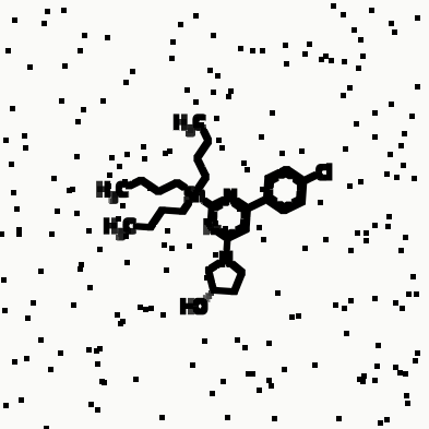 CCC[CH2][Sn]([CH2]CCC)([CH2]CCC)[c]1nc(-c2ccc(Cl)cc2)cc(N2CC[C@H](O)C2)n1